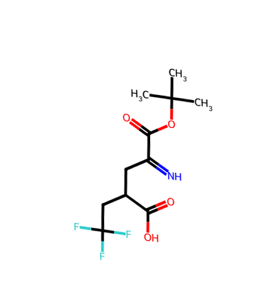 CC(C)(C)OC(=O)C(=N)CC(CC(F)(F)F)C(=O)O